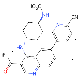 CC(C)C(=O)c1cnc2ccc(-c3ccc(C#N)nc3)cc2c1N[C@H]1CC[C@H](NC(=O)O)CC1